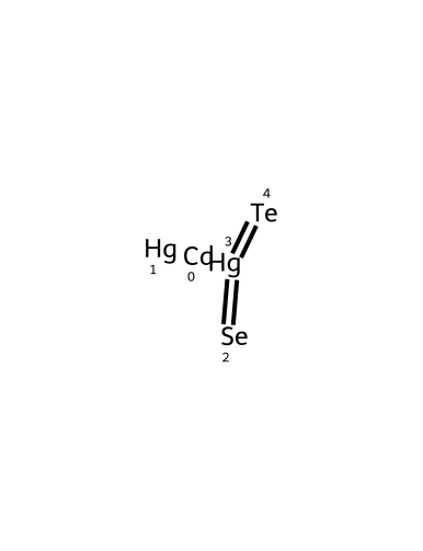 [Cd].[Hg].[Se]=[Hg]=[Te]